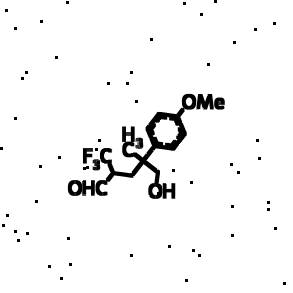 COc1ccc(C(C)(CO)CC(C=O)C(F)(F)F)cc1